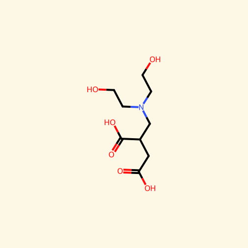 O=C(O)CC(CN(CCO)CCO)C(=O)O